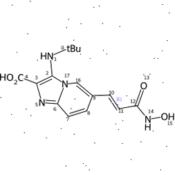 CC(C)(C)Nc1c(C(=O)O)nc2ccc(/C=C/C(=O)NO)cn12